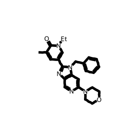 CCn1cc(-c2nc3cnc(N4CCOCC4)cc3n2Cc2ccccc2)cc(C)c1=O